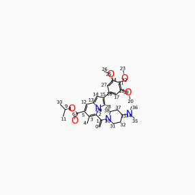 C=C(c1c(C)c(C(=O)OC(C)C)cc2cc(-c3cc(OC)c(OC)c(OC)c3)cn12)N1CCC(N(C)C)CC1